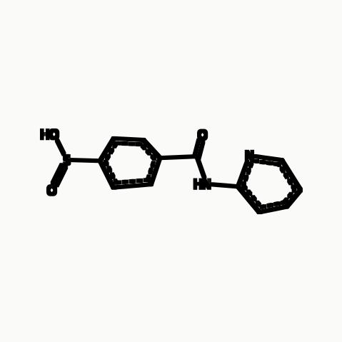 O=C(Nc1ccccn1)c1ccc(S(=O)O)cc1